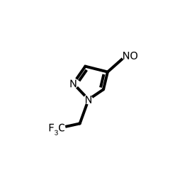 O=Nc1cnn(CC(F)(F)F)c1